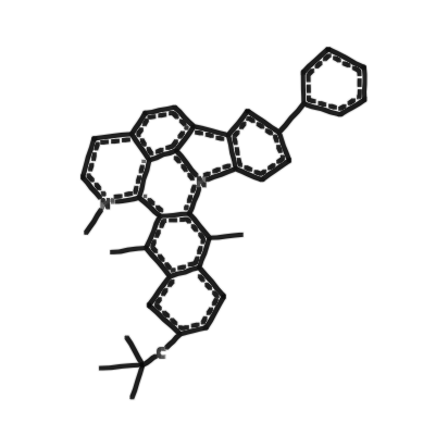 Cc1c2cc(CC(C)(C)C)ccc2c(C)c2c1c1c3c(ccc4c5cc(-c6ccccc6)ccc5n2c43)cc[n+]1C